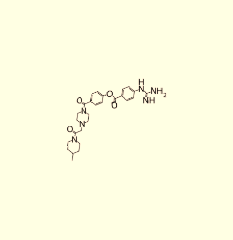 CC1CCN(C(=O)CN2CCN(C(=O)c3ccc(OC(=O)c4ccc(NC(=N)N)cc4)cc3)CC2)CC1